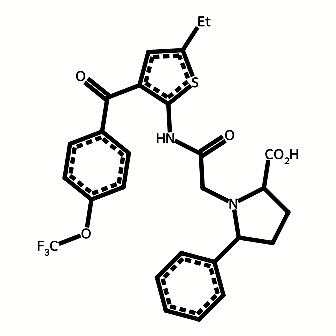 CCc1cc(C(=O)c2ccc(OC(F)(F)F)cc2)c(NC(=O)CN2C(C(=O)O)CCC2c2ccccc2)s1